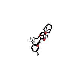 C[C@H](NCCC(=O)N1CC2CCC(C1)N2c1ccc(C#N)cn1)c1ccc(F)cc1F